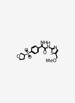 COCc1cnc(NC(=O)C(=N)c2ccc(S(=O)(=O)[C@H]3CCOC3)cc2)s1